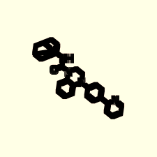 O=C(NC1C2CC3CC(C2)CC1C3)N1CCN(c2ccc(-c3ccccn3)cc2)c2ccccc21